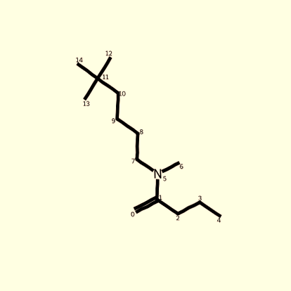 C=C(CCC)N(C)CCCCC(C)(C)C